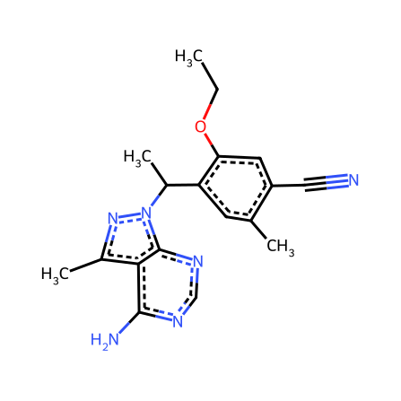 CCOc1cc(C#N)c(C)cc1C(C)n1nc(C)c2c(N)ncnc21